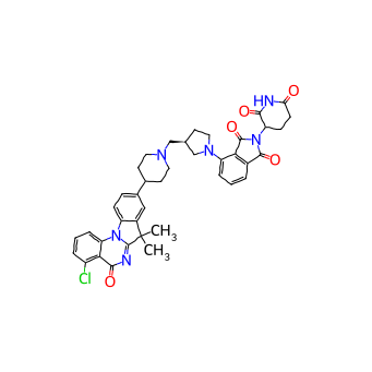 CC1(C)c2cc(C3CCN(C[C@H]4CCN(c5cccc6c5C(=O)N(C5CCC(=O)NC5=O)C6=O)C4)CC3)ccc2-n2c1nc(=O)c1c(Cl)cccc12